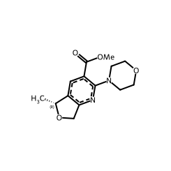 COC(=O)c1cc2c(nc1N1CCOCC1)CO[C@@H]2C